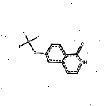 O=c1[nH]ccc2cc(OC(F)(F)F)ccc12